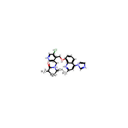 Cc1cc(-n2ccnc2)c2cccc(OCc3c(Cl)cncc3CN(C(=O)C(C)C)C(C)C)c2n1